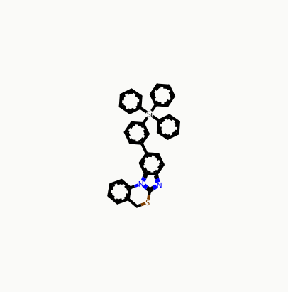 c1ccc([Si](c2ccccc2)(c2ccccc2)c2cccc(-c3ccc4nc5n(c4c3)-c3ccccc3CS5)c2)cc1